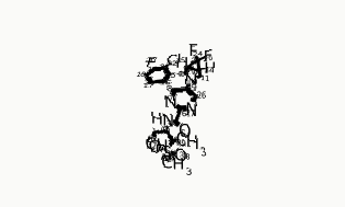 C=C[C@@H](NC(=O)c1ncc(N2C[C@@H]3[C@H]([C@H]2c2cccc(F)c2Cl)C3(F)F)cn1)C(C)S(C)(=O)=O